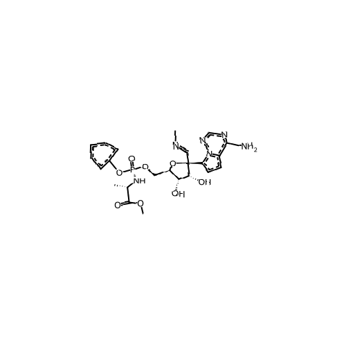 CN=C[C@@]1(c2ccc3c(N)ncnn23)O[C@H](CO[P@@](=O)(N[C@@H](C)C(=O)OC)Oc2ccccc2)[C@@H](O)[C@H]1O